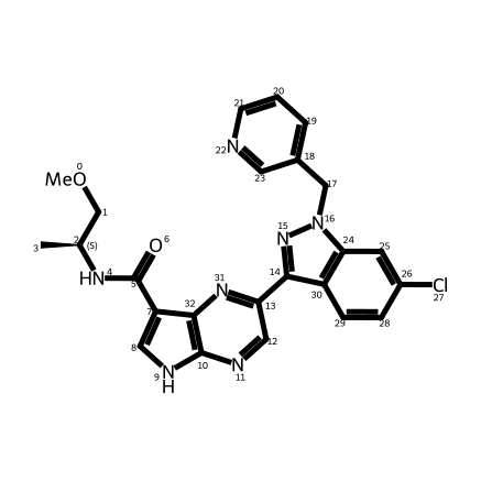 COC[C@H](C)NC(=O)c1c[nH]c2ncc(-c3nn(Cc4cccnc4)c4cc(Cl)ccc34)nc12